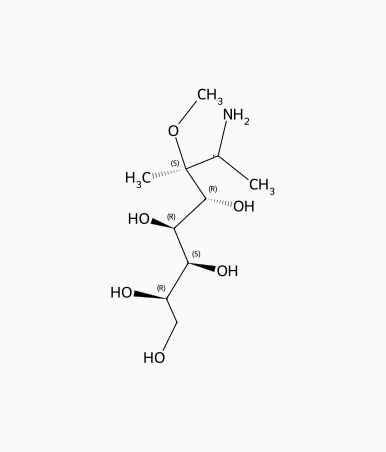 CO[C@@](C)([C](C)N)[C@H](O)[C@H](O)[C@@H](O)[C@H](O)CO